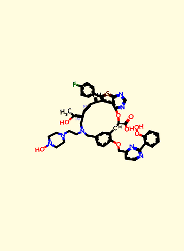 C=C1/C=C\C(=C(/C)O)CN(CCN2CCN(O)CC2)Cc2ccc(OCc3ccnc(-c4ccccc4OO)n3)c(c2)C[C@H](C(=O)O)Oc2ncnc3sc(-c4ccc(F)cc4)c1c23